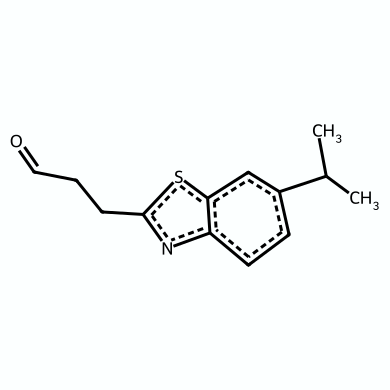 CC(C)c1ccc2nc(CCC=O)sc2c1